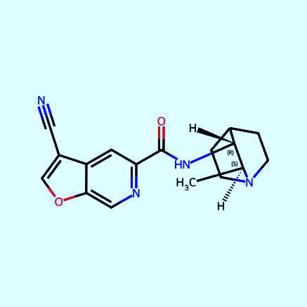 C[C@H]1[C@H](NC(=O)c2cc3c(C#N)coc3cn2)C2CCN1CC2